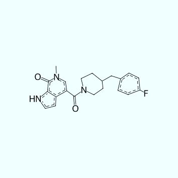 Cn1cc(C(=O)N2CCC(Cc3ccc(F)cc3)CC2)c2cc[nH]c2c1=O